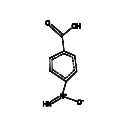 N=[N+]([O-])c1ccc(C(=O)O)cc1